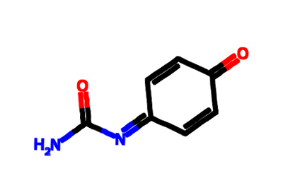 NC(=O)N=C1C=CC(=O)C=C1